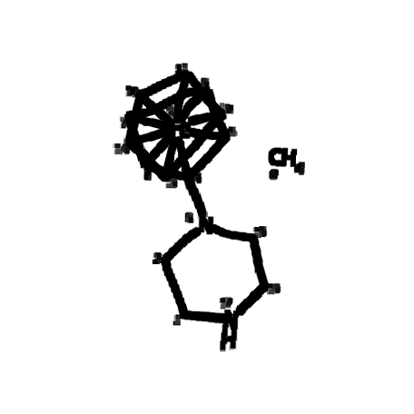 C.C1CN([C]23[CH]4[CH]5[CH]6[CH]2[Fe]56432789[CH]3[CH]2[CH]7[CH]8[CH]39)CCN1